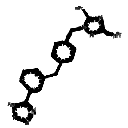 CCCc1nc(CCC)n(Cc2ccc(Cc3cccc(-c4nnn[nH]4)c3)cc2)n1